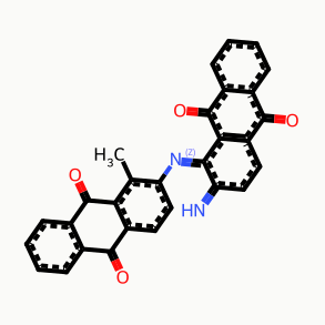 Cc1c(/N=c2\c(=N)ccc3c(=O)c4ccccc4c(=O)c2=3)ccc2c1C(=O)c1ccccc1C2=O